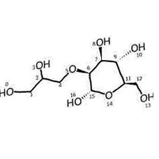 OCC(O)CO[C@H]1[C@@H](O)[C@H](O)[C@@H](CO)O[C@@H]1O